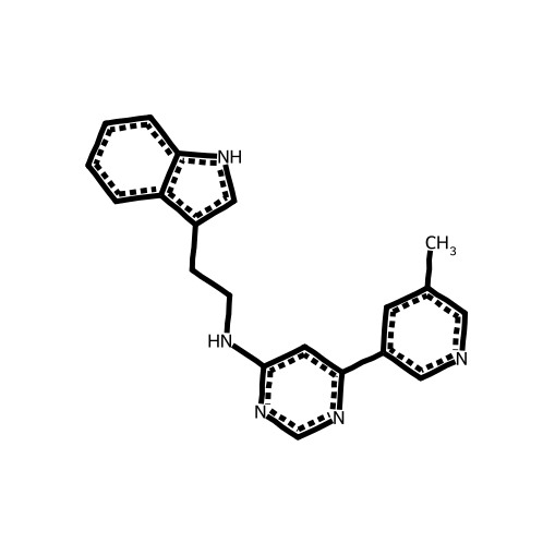 Cc1cncc(-c2cc(NCCc3c[nH]c4ccccc34)ncn2)c1